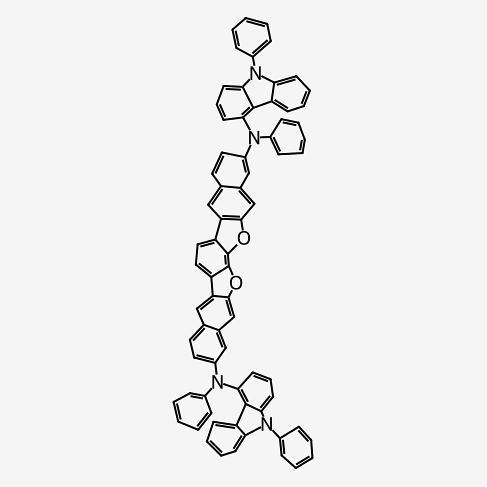 c1ccc(N(c2ccc3cc4c(cc3c2)oc2c4ccc3c4cc5ccc(N(c6ccccc6)c6cccc7c6c6ccccc6n7-c6ccccc6)cc5cc4oc32)c2cccc3c2c2ccccc2n3-c2ccccc2)cc1